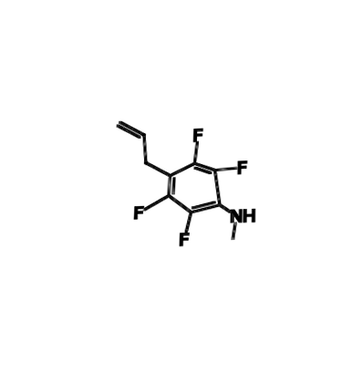 C=CCc1c(F)c(F)c(NC)c(F)c1F